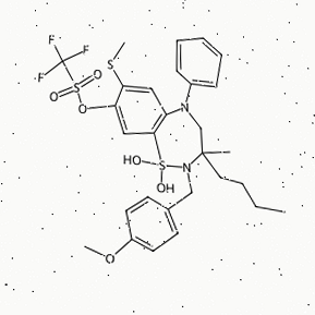 CCCCC1(C)CN(c2ccccc2)c2cc(SC)c(OS(=O)(=O)C(F)(F)F)cc2S(O)(O)N1Cc1ccc(OC)cc1